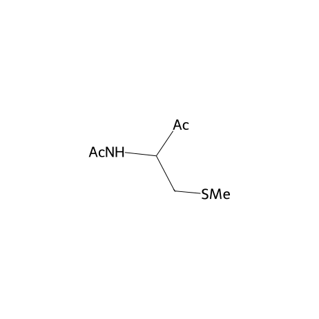 CSCC(NC(C)=O)C(C)=O